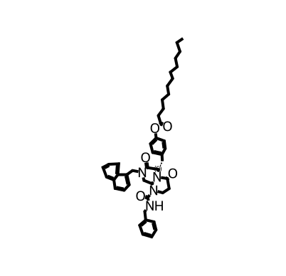 CCCCCCCCCCCCC(=O)Oc1ccc(C[C@H]2C(=O)N(Cc3cccc4ccccc34)CC3N(C(=O)NCc4ccccc4)CCC(=O)N32)cc1